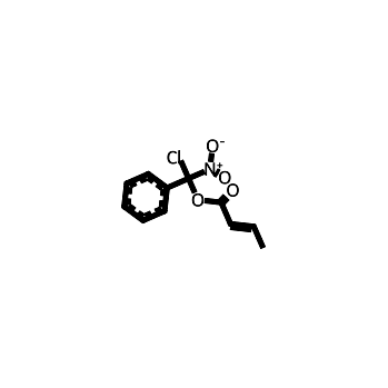 C/C=C/C(=O)OC(Cl)(c1ccccc1)[N+](=O)[O-]